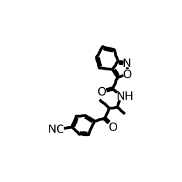 CC(NC(=O)c1onc2ccccc12)C(C)C(=O)c1ccc(C#N)cc1